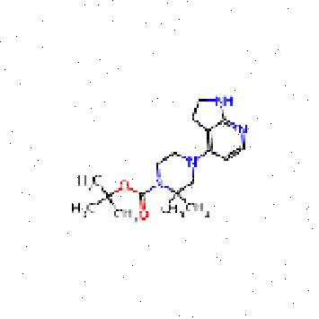 CC(C)(C)OC(=O)N1CCN(c2ccnc3c2CCN3)CC1(C)C